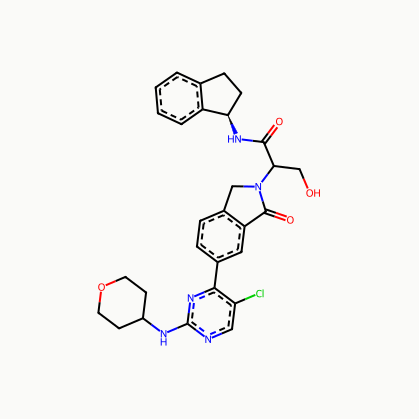 O=C(N[C@@H]1CCc2ccccc21)C(CO)N1Cc2ccc(-c3nc(NC4CCOCC4)ncc3Cl)cc2C1=O